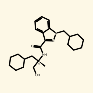 C[C@@](CO)(CC1CCCCC1)NC(=O)c1nn(CC2CCCCC2)c2ccccc12